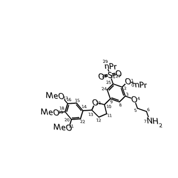 CCCOc1c(OCCN)cc(C2CCC(c3cc(OC)c(OC)c(OC)c3)O2)cc1S(=O)(=O)CCC